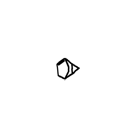 C1=C2CC[C](C1)C1CC21